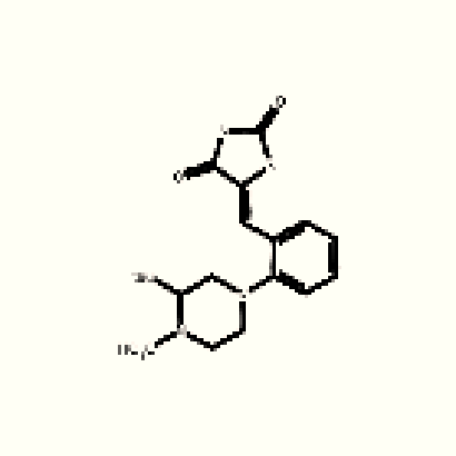 CC(C)(C)C1CN(c2ccccc2/C=C2\SC(=O)NC2=O)CCN1C(=O)O